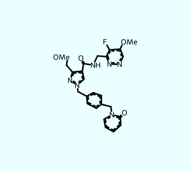 COCc1nn(Cc2ccc(Cn3ccccc3=O)cc2)cc1C(=O)NCc1nncc(OC)c1F